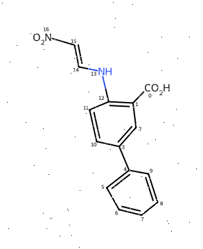 O=C(O)c1cc(-c2ccccc2)ccc1N/C=C/[N+](=O)[O-]